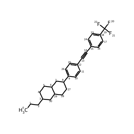 CCCC1CCC2CC(c3ccc(C#Cc4ccc(C(F)(F)F)cc4)cc3)CCC2C1